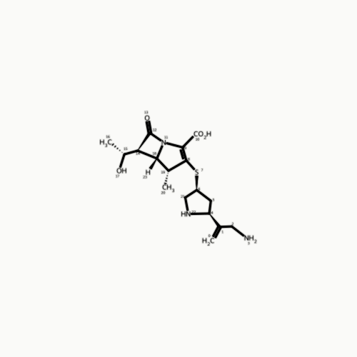 C=C(CN)[C@@H]1C[C@H](SC2=C(C(=O)O)N3C(=O)[C@H]([C@@H](C)O)[C@H]3[C@H]2C)CN1